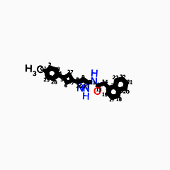 Cc1ccc(C2CC(c3cc(NC(=O)Cc4cccc5ccccc45)[nH]n3)C2)cc1